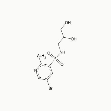 O=S(=O)(NCC(O)CO)c1cc(Br)cnc1[AsH2]